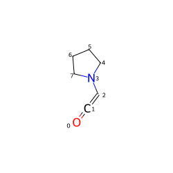 O=C=CN1CCCC1